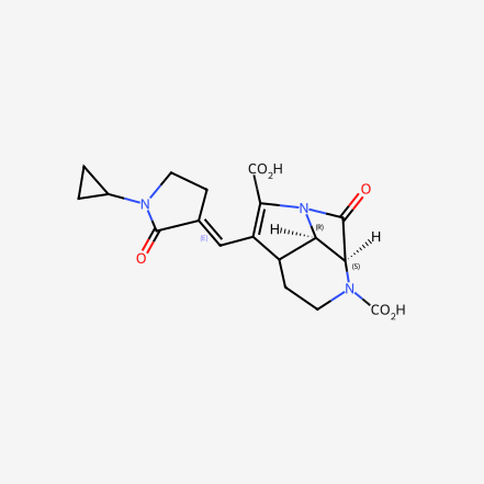 O=C(O)C1=C(/C=C2\CCN(C3CC3)C2=O)C2CCN(C(=O)O)[C@@H]3C(=O)N1[C@H]23